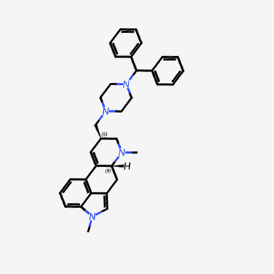 CN1C[C@H](CN2CCN(C(c3ccccc3)c3ccccc3)CC2)C=C2c3cccc4c3c(cn4C)C[C@H]21